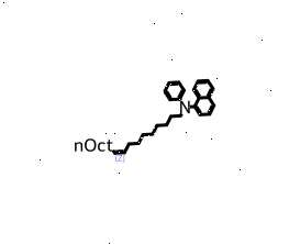 CCCCCCCC/C=C\CCCCCCCCN(c1ccccc1)c1cccc2ccccc12